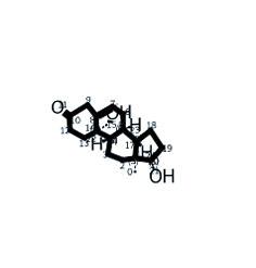 C[C@]12CC[C@H]3[C@@H](CC=C4CC(=O)CC[C@@]43CO)[C@@H]1CC[C@@H]2O